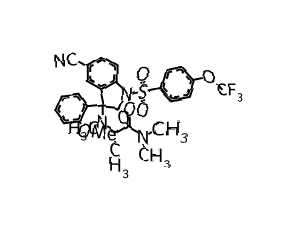 COc1ccccc1C1(N(C)[C@@H](C)C(=O)N(C)C)C(=O)N(S(=O)(=O)c2ccc(OC(F)(F)F)cc2)c2ccc(C#N)cc21